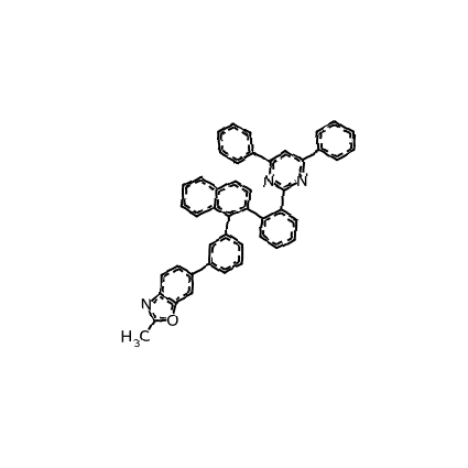 Cc1nc2ccc(-c3cccc(-c4c(-c5ccccc5-c5nc(-c6ccccc6)cc(-c6ccccc6)n5)ccc5ccccc45)c3)cc2o1